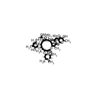 C=C1C[C@@H](C)O[C@@H](O[C@@H]2[C@@H](C)[C@H](O[C@H]3CC(C)N(C)C[C@H](C)O3)[C@@H](C)C(=O)O[C@H]([C@@H](C)CO[C@@H]3O[C@H](C)[C@@H](O)[C@@H](OC)[C@H]3OC)[C@H](C)[C@@H](OC(=O)CC(C)C)[C@@H](C)C(=O)[C@@](C)(OC(=O)OC)C[C@@H]2C)[C@@H]1O